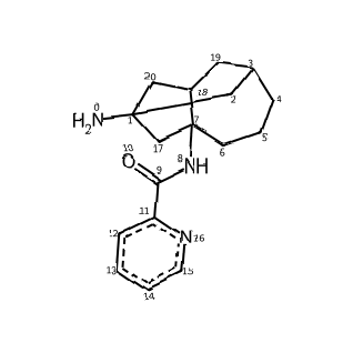 NC12CC3CCCC(NC(=O)c4ccccn4)(C1)C(C3)C2